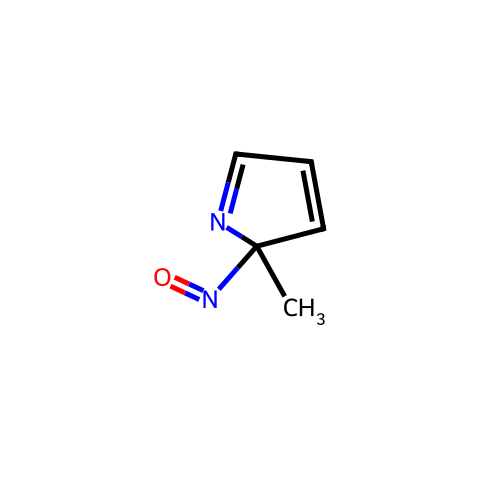 CC1(N=O)C=CC=N1